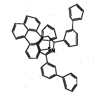 C1=CC(c2cccc(-c3ccccc3)c2)=NC(c2cccc(-c3ccccc3)c2)CC=1c1cccc2cccc(-c3cccc4sc5ccccc5c34)c12